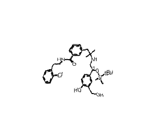 CC(C)(Cc1cccc(C(=O)NCCc2ccccc2Cl)c1)NC[C@@H](O[Si](C)(C)C(C)(C)C)c1ccc(O)c(CO)c1